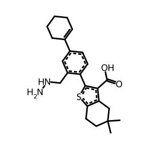 CC1(C)CCc2sc(-c3ccc(C4=CCCCC4)cc3CNN)c(C(=O)O)c2C1